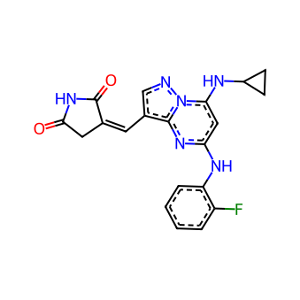 O=C1CC(=Cc2cnn3c(NC4CC4)cc(Nc4ccccc4F)nc23)C(=O)N1